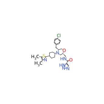 Cc1nc(C2CCC(N3C[C@H](CNC(=O)c4cnn[nH]4)OC[C@@H]3Cc3ccc(Cl)cc3)CC2)sc1C